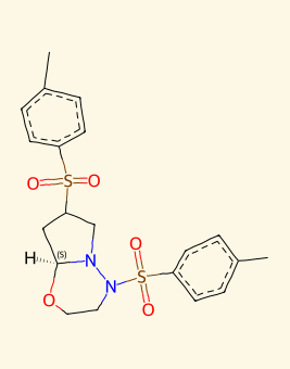 Cc1ccc(S(=O)(=O)C2C[C@@H]3OCCN(S(=O)(=O)c4ccc(C)cc4)N3C2)cc1